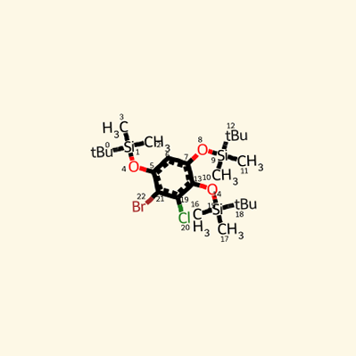 CC(C)(C)[Si](C)(C)Oc1cc(O[Si](C)(C)C(C)(C)C)c(O[Si](C)(C)C(C)(C)C)c(Cl)c1Br